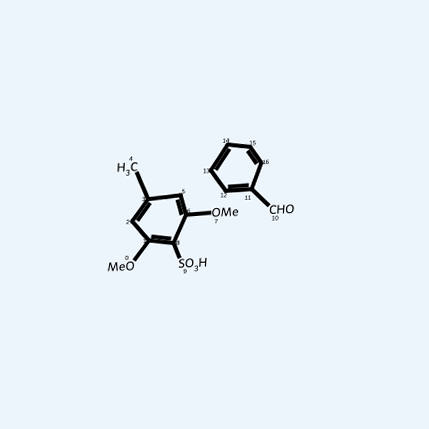 COc1cc(C)cc(OC)c1S(=O)(=O)O.O=Cc1ccccc1